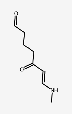 CN/C=C/C(=O)CCCC=O